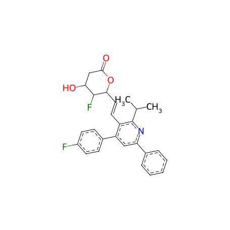 CC(C)c1nc(-c2ccccc2)cc(-c2ccc(F)cc2)c1/C=C/C1OC(=O)CC(O)C1F